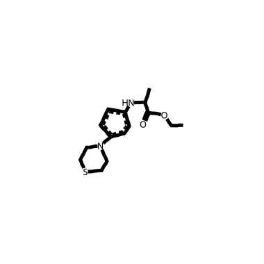 CCOC(=O)C(C)Nc1ccc(N2CCSCC2)cc1